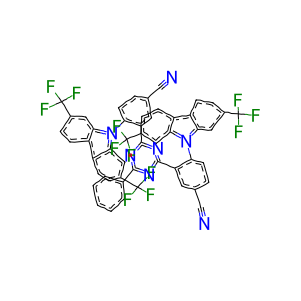 N#Cc1ccc(-n2c3cc(C(F)(F)F)ccc3c3ccc(C(F)(F)F)cc32)c(-c2nc(-c3ccccc3)nc(-c3cc(C#N)ccc3-n3c4cc(C(F)(F)F)ccc4c4ccc(C(F)(F)F)cc43)n2)c1